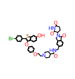 O=C1CCC(N2Cc3cc(CNC(=O)C4CCN(CCOc5ccc(Oc6c(-c7ccc(Br)cc7)sc7cc(O)ccc67)cc5)CC4)ccc3C2=O)C(=O)N1